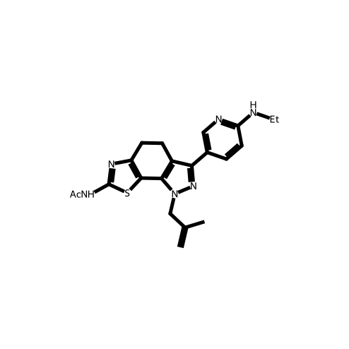 C=C(C)Cn1nc(-c2ccc(NCC)nc2)c2c1-c1sc(NC(C)=O)nc1CC2